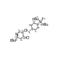 CCCC[Si](F)(CCCC)c1ccc(COc2cnc(C(C)(C)C)cc2Cl)cc1